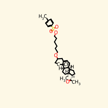 CC(=O)[C@H]1CC[C@H]2[C@@H]3CC=C4CC(OCCCCCCOS(=O)(=O)c5ccc(C)cc5)CC[C@]4(C)[C@H]3CC[C@]12C